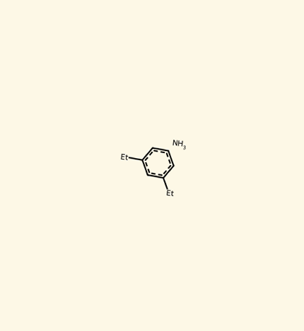 CCc1cccc(CC)c1.N